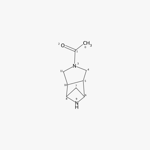 CC(=O)N1CC2C3CC(N3)C2C1